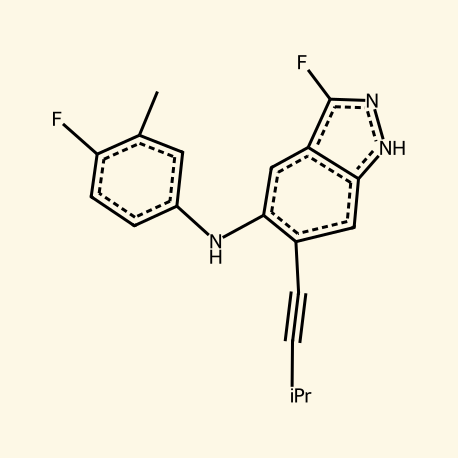 Cc1cc(Nc2cc3c(F)n[nH]c3cc2C#CC(C)C)ccc1F